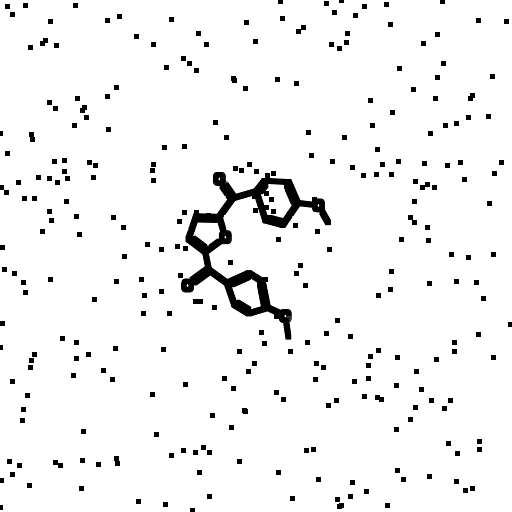 COc1ccc(C(=O)c2ccc(C(=O)c3ccc(OC)cc3)o2)cc1